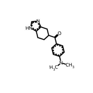 CN(C)c1ccc(C(=O)C2CCc3[nH]cnc3C2)cc1